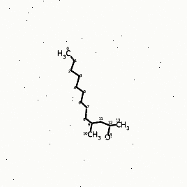 CCCCCCCCCC(C)CC(C)[O]